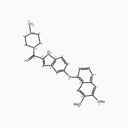 COc1cc2nccc(Oc3ccc4[nH]c(C(=O)N5CCN(C)CC5)cc4c3)c2cc1OC